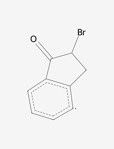 O=C1c2ccc[c]c2CC1Br